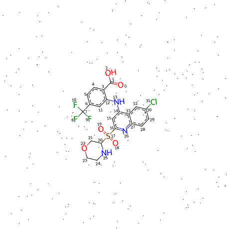 O=C(O)c1ccc(C(F)(F)F)cc1Nc1cc(S(=O)(=O)C2COCCN2)nc2ccc(Cl)cc12